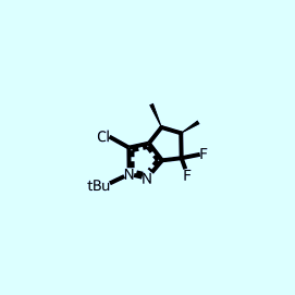 C[C@@H]1c2c(nn(C(C)(C)C)c2Cl)C(F)(F)[C@@H]1C